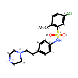 COc1ccc(Cl)cc1S(=O)(=O)Nc1ccc(CCN2CCNCC2)cc1